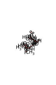 CC[C@@]1(O)C(=O)OCc2c1cc1n(c2=O)Cc2c-1nc1cc(F)c(C)c3c1c2[C@@H](NC(=O)CCCNC(=O)CNC(=O)[C@H](Cc1ccccc1)NC(=O)CNC(=O)CNC(=O)[C@H](CCC(=O)O)NC(=O)OCC1c2ccccc2-c2ccccc21)CC3